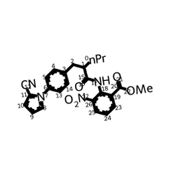 CCCC(Cc1ccc(-n2cccc2C#N)cc1)C(=O)Nc1c(C(=O)OC)cccc1[N+](=O)[O-]